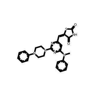 CN(c1ccccc1)c1cc(C=C2SC(=O)NC2=O)nc(N2CCN(c3ccccc3)CC2)n1